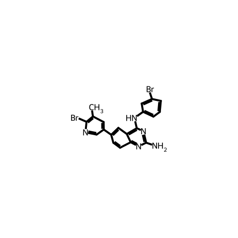 Cc1cc(-c2ccc3nc(N)nc(Nc4cccc(Br)c4)c3c2)cnc1Br